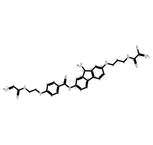 C=CC(=O)OCCOc1ccc(C(=O)Sc2ccc3c(c2)C(C)c2cc(OCCCOC(=O)C(=C)F)ccc2-3)cc1